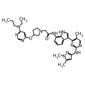 CCCN(CC)c1cc(OC2CCN(CC(=O)Nc3cccc4c(-c5nc(Nc6cc(C)n(C)n6)ncc5C)c[nH]c34)C2)ncn1